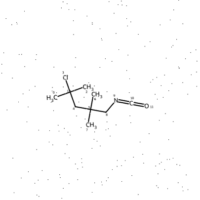 CC(C)(Cl)CC(C)(C)CN=C=O